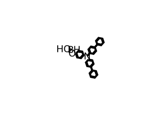 OBOc1ccc(N(c2ccc(-c3ccccc3)cc2)c2ccc(-c3ccccc3)cc2)cc1